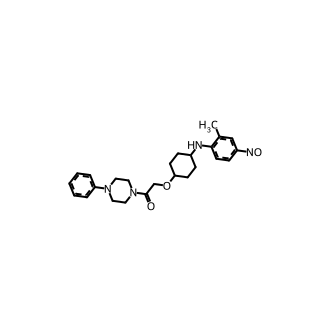 Cc1cc(N=O)ccc1NC1CCC(OCC(=O)N2CCN(c3ccccc3)CC2)CC1